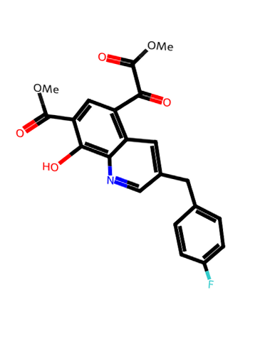 COC(=O)C(=O)c1cc(C(=O)OC)c(O)c2ncc(Cc3ccc(F)cc3)cc12